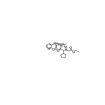 CCOC(=O)CNC(C(=O)[C@@H](NC(=O)Nc1cccnc1Cl)C(C)(C)C)C1CCCC1